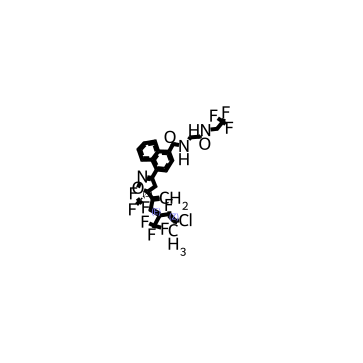 C=C(/C=C(\C(F)=C(/C)Cl)C(F)(F)F)[C@]1(C(F)(F)F)CC(c2ccc(C(=O)NCC(=O)NCC(F)(F)F)c3ccccc23)=NO1